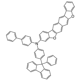 c1ccc(-c2ccc(N(c3ccc(C4(c5ccccc5)c5ccccc5-c5ccccc54)cc3)c3ccc4c(c3)oc3cc5cc6oc7ccccc7c6cc5cc34)cc2)cc1